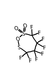 O=S1(=O)OSC(F)(F)C(F)(F)C(F)(F)C1(F)F